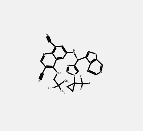 CC(C)(C)CNc1c(C#N)cnc2c(C#N)cc(N[C@H](c3cn(C4(C(F)(F)F)CC4)nn3)c3csc4cnccc34)cc12